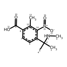 CNC(C)(I)c1ccc(C(=O)O)c(C)c1[N+](=O)[O-]